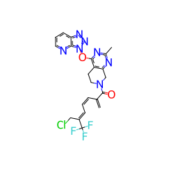 C=C(/C=C\C=C(/CCl)C(F)(F)F)C(=O)N1CCc2c(nc(C)nc2On2nnc3cccnc32)C1